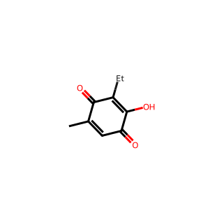 CCC1=C(O)C(=O)C=C(C)C1=O